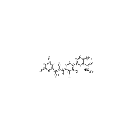 CC(C)NC(=O)c1cc(-c2ccc(NC(=O)[C@@H](O)c3cc(F)cc(F)c3)c(F)c2Cl)cnc1N